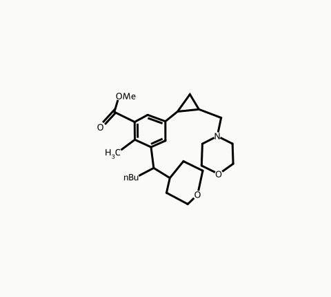 CCCCC(c1cc(C2CC2CN2CCOCC2)cc(C(=O)OC)c1C)C1CCOCC1